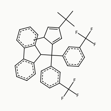 CC1C=C(C(C)(C)C)C=C1C(c1cccc(C(F)(F)F)c1)(c1cccc(C(F)(F)F)c1)C1c2ccccc2-c2ccccc21